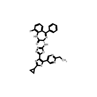 CCc1ncc(-c2sc(C3CC3)nc2-c2nnc(N[C@H]3N=C(c4ccccc4)c4cccc(F)c4NC3=O)o2)cn1